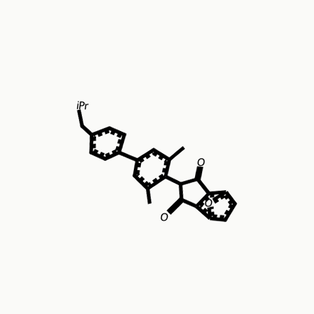 Cc1cc(-c2ccc(CC(C)C)cc2)cc(C)c1C1C(=O)c2c(c3ccc2o3)C1=O